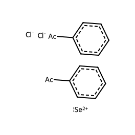 CC(=O)c1ccccc1.CC(=O)c1ccccc1.[Cl-].[Cl-].[Se+2]